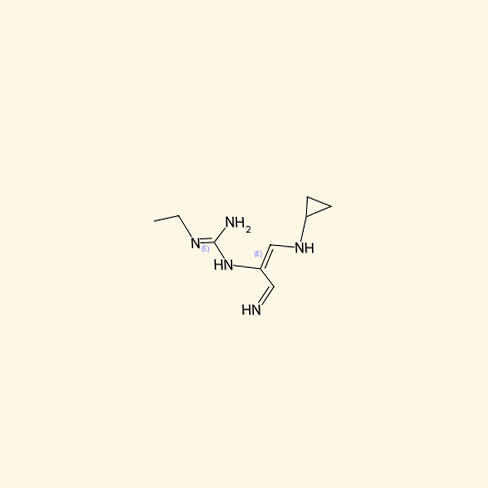 CC/N=C(\N)N/C(C=N)=C/NC1CC1